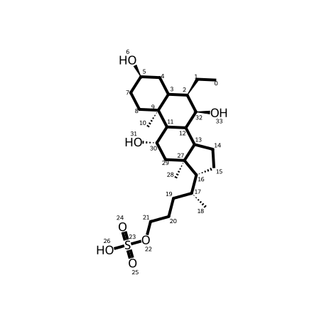 CC[C@@H]1C2C[C@H](O)CC[C@]2(C)C2C(C3CC[C@H]([C@H](C)CCCOS(=O)(=O)O)[C@@]3(C)C[C@@H]2O)[C@@H]1O